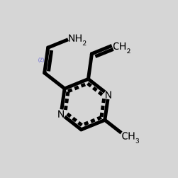 C=Cc1nc(C)cnc1/C=C\N